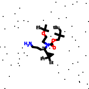 CCC(C)(C)OCCN(C(=O)OCC(C)(C)CC(C)(C)C)[C@@H](CCCN)C1=CC1(CC)C(C)C